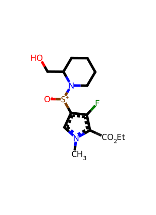 CCOC(=O)c1c(F)c([S+]([O-])N2CCCCC2CO)cn1C